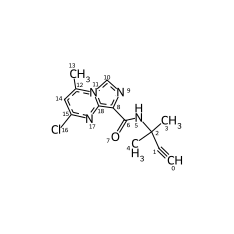 C#CC(C)(C)NC(=O)c1ncn2c(C)cc(Cl)nc12